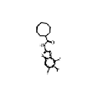 O=C(Nc1nc2c(F)c(F)c(F)cc2s1)C1CCCCCCC1